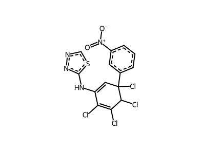 O=[N+]([O-])c1cccc(C2(Cl)C=C(Nc3nncs3)C(Cl)=C(Cl)C2Cl)c1